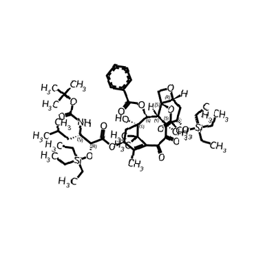 CC[Si](CC)(CC)O[C@H]1C[C@H]2OC[C@@]2(OC(C)=O)[C@H]2[C@H](OC(=O)c3ccccc3)[C@]3(O)C[C@H](OC(=O)[C@H](O[Si](CC)(CC)CC)[C@H](CC(C)C)NC(=O)OC(C)(C)C)C(C)=C(C(=O)C(=O)[C@]12C)C3(C)C